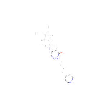 C[C@@H]1[C@H]2C[C@@H](C[C@H]1Nc1cnn(CCCCc3ccncc3)c(=O)c1Br)C2(C)C